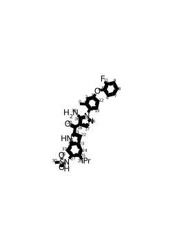 Cc1cc(Oc2ccccc2F)ccc1-n1ncc(C(=O)c2cc3cc(C(C)C)c(NS(C)(=O)=O)cc3[nH]2)c1N